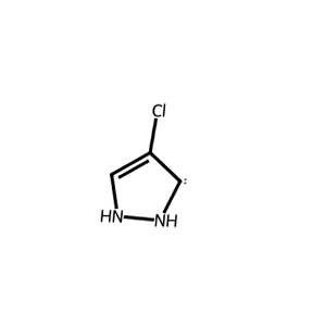 ClC1=CNN[C]1